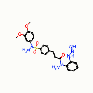 COc1ccc(N(N)S(=O)(=O)c2ccc(/C=C/C(=O)N(N)c3ccccc3NN=N)cc2)cc1OC